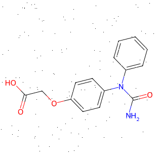 NC(=O)N(c1ccccc1)c1ccc(OCC(=O)O)cc1